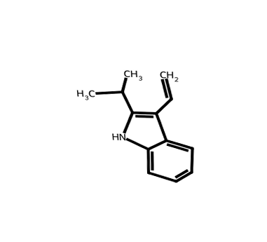 C=Cc1c(C(C)C)[nH]c2ccccc12